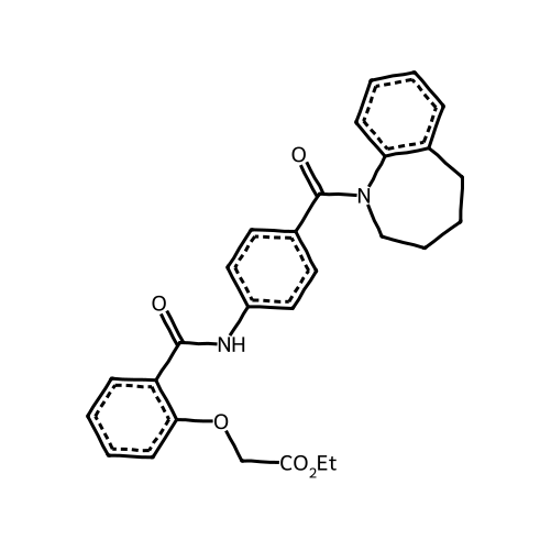 CCOC(=O)COc1ccccc1C(=O)Nc1ccc(C(=O)N2CCCCc3ccccc32)cc1